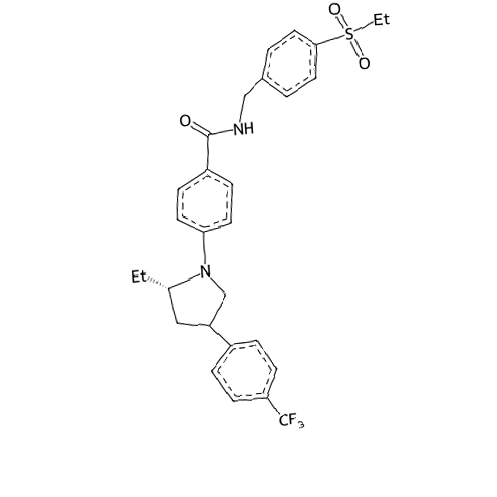 CC[C@H]1CC(c2ccc(C(F)(F)F)cc2)CN1c1ccc(C(=O)NCc2ccc(S(=O)(=O)CC)cc2)cc1